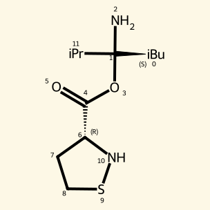 CC[C@H](C)C(N)(OC(=O)[C@H]1CCSN1)C(C)C